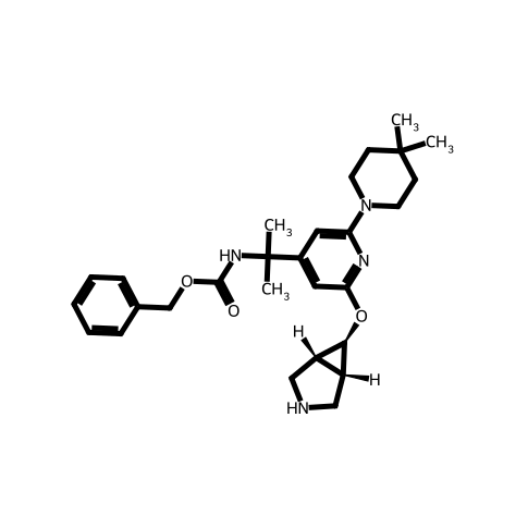 CC1(C)CCN(c2cc(C(C)(C)NC(=O)OCc3ccccc3)cc(O[C@H]3[C@@H]4CNC[C@@H]43)n2)CC1